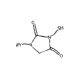 CC(C)N1CC(=O)N(S)C1=O